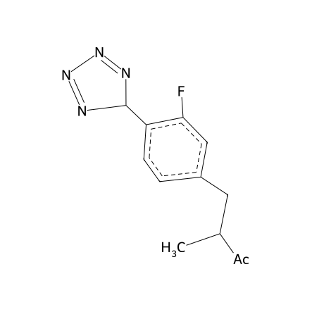 CC(=O)C(C)Cc1ccc(C2N=NN=N2)c(F)c1